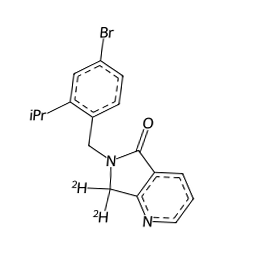 [2H]C1([2H])c2ncccc2C(=O)N1Cc1ccc(Br)cc1C(C)C